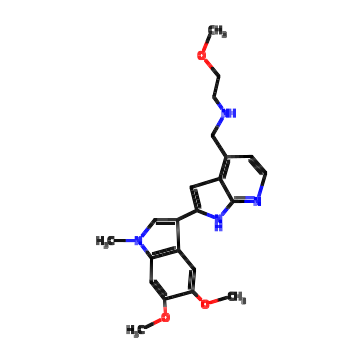 COCCNCc1ccnc2[nH]c(-c3cn(C)c4cc(OC)c(OC)cc34)cc12